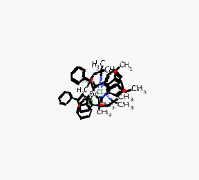 CCc1cccc(CC)c1N1[C](=[Ru-6]([Cl])([Cl])(=[C]2C=C(c3ccccc3)c3ccccc32)=[C]2N(c3c(CC)cccc3CC)C(C)(C)CC2(C)c2ccccc2)C(C)(c2ccccc2)CC1(C)C